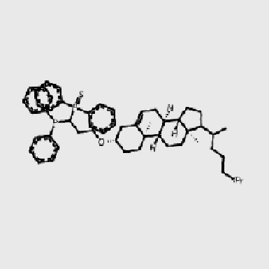 CC(C)CCCC(C)C1CC[C@H]2[C@@H]3CC=C4C[C@@H](OCCC(P(c5ccccc5)c5ccccc5)P(=S)(c5ccccc5)c5ccccc5)CC[C@]4(C)[C@H]3CC[C@]12C